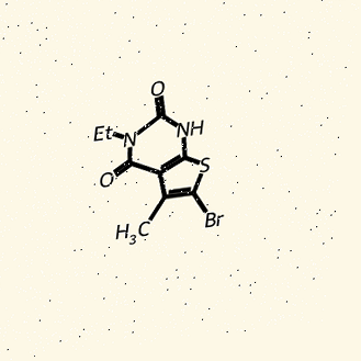 CCn1c(=O)[nH]c2sc(Br)c(C)c2c1=O